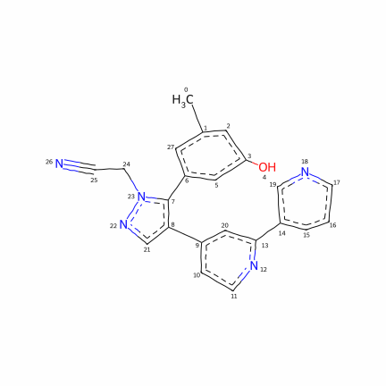 Cc1cc(O)cc(-c2c(-c3ccnc(-c4cccnc4)c3)cnn2CC#N)c1